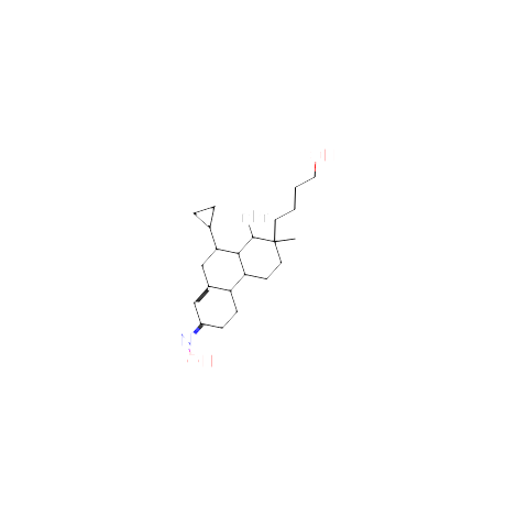 CCCC1C2C(C3CC3)CC3=C/C(=N/O)CCC3C2CCC1(C)CCCCO